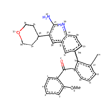 COc1ccccc1C(=O)c1cccc(C)c1-c1ccc2nc(N)c(C3CCOCC3)cc2c1